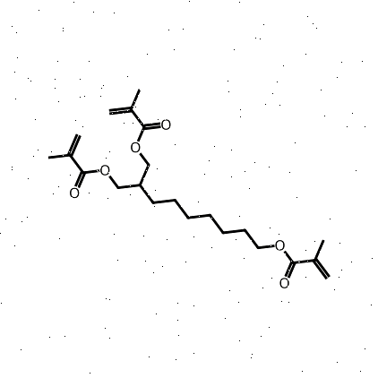 C=C(C)C(=O)OCCCCCCCC(COC(=O)C(=C)C)COC(=O)C(=C)C